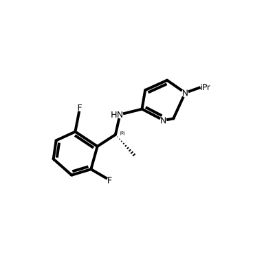 CC(C)N1C=CC(N[C@H](C)c2c(F)cccc2F)=NC1